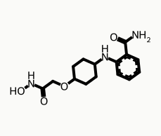 NC(=O)c1ccccc1NC1CCC(OCC(=O)NO)CC1